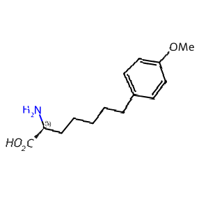 COc1ccc(CCCCC[C@H](N)C(=O)O)cc1